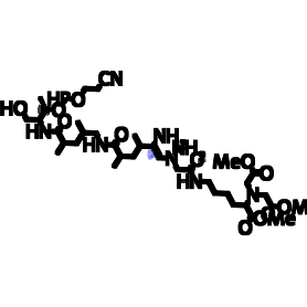 COC(=O)CN(CC(=O)OC)C(CCCCNC(=O)CN(N)/C=C(\N)C(C)CC(C)C(=O)NCC(C)CC(C)C(=O)NC(CO)[C@@H](C)OPOCCC#N)C(=O)OC